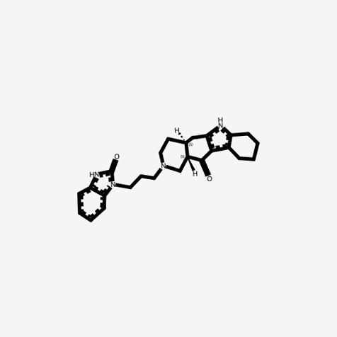 O=C1c2c([nH]c3c2CCCC3)C[C@@H]2CCN(CCCn3c(=O)[nH]c4ccccc43)C[C@@H]12